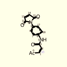 CC(=O)/C=C\C(=O)Nc1ccc(N2C(=O)C=CC2=O)cc1